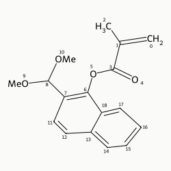 C=C(C)C(=O)Oc1c(C(OC)OC)ccc2ccccc12